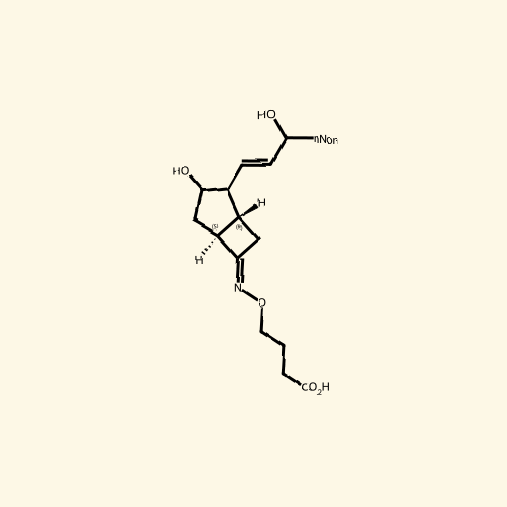 CCCCCCCCCC(O)C=CC1C(O)C[C@@H]2C(=NOCCCC(=O)O)C[C@@H]12